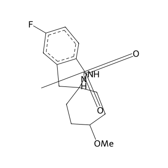 COC1CCC2(CC1)Cc1cc(F)ccc1C21NC(=O)NC1=O